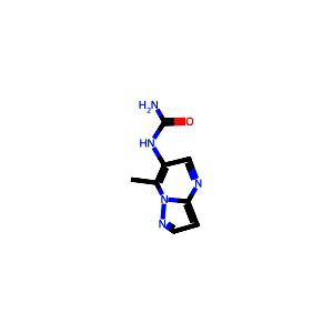 Cc1c(NC(N)=O)cnc2ccnn12